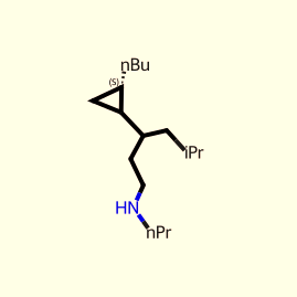 CCCC[C@H]1CC1C(CCNCCC)CC(C)C